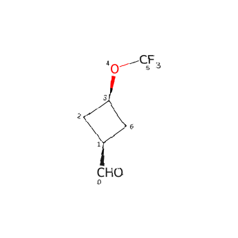 O=C[C@H]1C[C@@H](OC(F)(F)F)C1